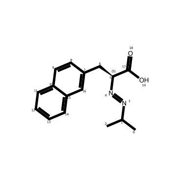 CC(C)N=N[C@@H](Cc1ccc2ccccc2c1)C(=O)O